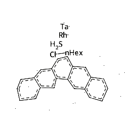 CCCCCCCl.S.[Rh].[Ta].c1ccc2cc3c(ccc4cc5ccccc5cc43)cc2c1